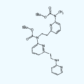 CN(C(=O)OC(C)(C)C)c1cccc(CCN(C(=O)OC(C)(C)C)c2cccc(CCNc3ccccn3)n2)n1